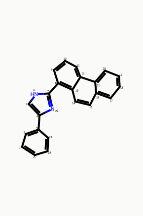 c1ccc(-c2c[nH]c(-c3cccc4c3ccc3ccccc34)n2)cc1